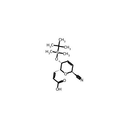 CC(C)(C)[Si](C)(C)O[C@@H]1C=C[C@@H](C#N)O[C@@H]1/C=C\C(=O)O